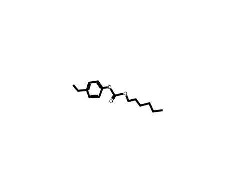 CCCCCCOC(=O)Oc1ccc(CC)cc1